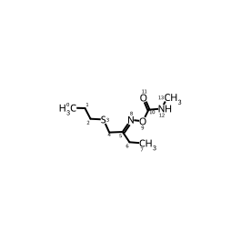 CCCSCC(CC)=NOC(=O)NC